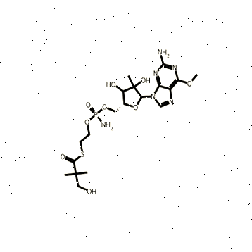 COc1nc(N)nc2c1ncn2C1O[C@H](COP(N)(=O)OCCSC(=O)C(C)(C)CO)C(O)C1(C)O